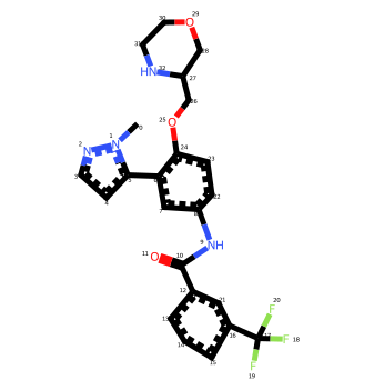 Cn1nccc1-c1cc(NC(=O)c2cccc(C(F)(F)F)c2)ccc1OCC1COCCN1